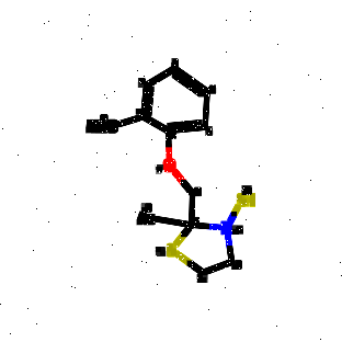 COc1ccccc1OCC1(C(C)=O)SCCN1S